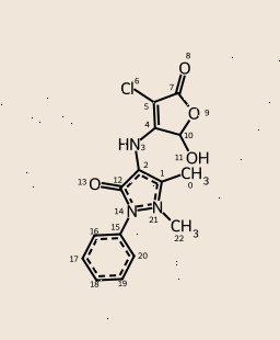 Cc1c(NC2=C(Cl)C(=O)OC2O)c(=O)n(-c2ccccc2)n1C